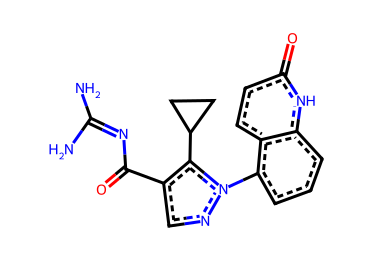 NC(N)=NC(=O)c1cnn(-c2cccc3[nH]c(=O)ccc23)c1C1CC1